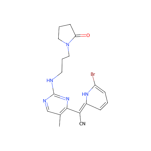 Cc1cnc(NCCCN2CCCC2=O)nc1/C(C#N)=C1/C=CC=C(Br)N1